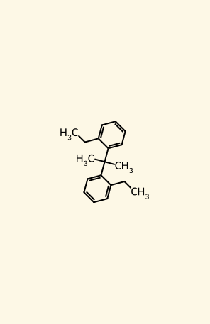 CCc1ccccc1C(C)(C)c1ccccc1CC